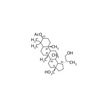 CC(=O)O[C@H]1CC[C@@]2(C)C(CC[C@]3(C)C2CCC2C4[C@H](C(C)CO)CC[C@]4(C(=O)O)CC[C@]23C)C1(C)C